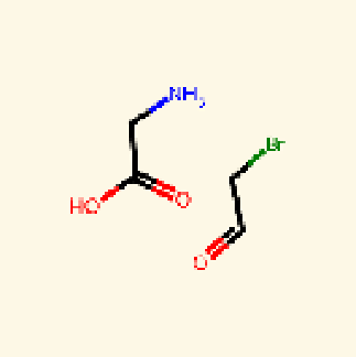 NCC(=O)O.O=CCBr